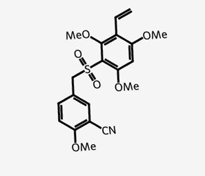 C=Cc1c(OC)cc(OC)c(S(=O)(=O)Cc2ccc(OC)c(C#N)c2)c1OC